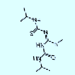 CSC(=NC(=S)NC(C)C)NC(=O)NC(C)C